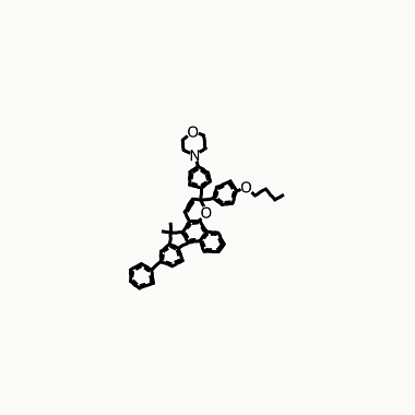 CCCCOc1ccc(C2(c3ccc(N4CCOCC4)cc3)C=Cc3c4c(c5ccccc5c3O2)-c2ccc(-c3ccccc3)cc2C4(C)C)cc1